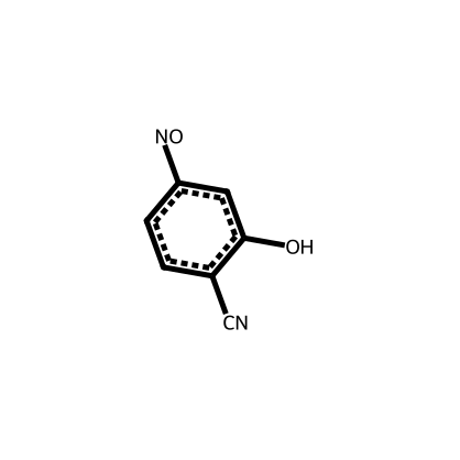 N#Cc1ccc(N=O)cc1O